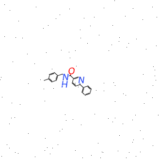 Cc1ccc(CNC(=O)c2ccc(-c3ccccc3)nc2)cc1